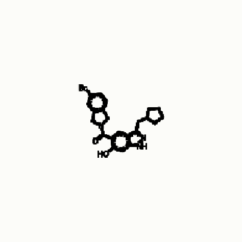 O=C(c1cc2c(CC3CCCC3)n[nH]c2cc1O)N1Cc2ccc(Br)cc2C1